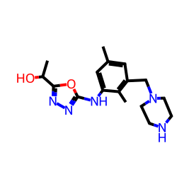 Cc1cc(CN2CCNCC2)c(C)c(Nc2nnc(C(C)O)o2)c1